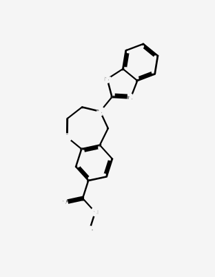 N=C(NO)c1ccc2c(c1)OCCN(c1nc3ccccc3[nH]1)C2